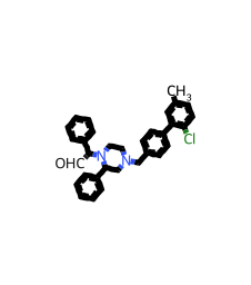 Cc1ccc(Cl)c(-c2ccc(CN3CCN(C(C=O)c4ccccc4)C(c4ccccc4)C3)cc2)c1